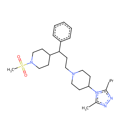 Cc1nnc(C(C)C)n1C1CCN(CCC(c2ccccc2)C2CCN(S(C)(=O)=O)CC2)CC1